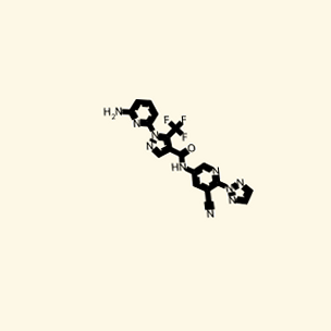 N#Cc1cc(NC(=O)c2cnn(-c3cccc(N)n3)c2C(F)(F)F)cnc1-n1nccn1